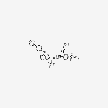 NS(=O)(=O)c1ccc(NCC#Cc2sc3c(NC4CCC(N5CCOCC5)CC4)cccc3c2CC(F)(F)F)c(OCCO)c1